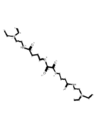 CCN(CC)CCNC(=O)CCCOC(=O)C(=O)OCCCC(=O)NCCN(CC)CC